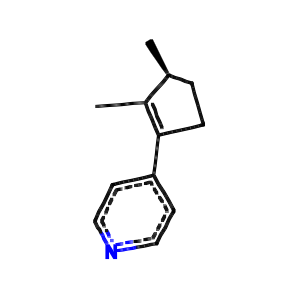 CC1=C(c2ccncc2)CC[C@@H]1C